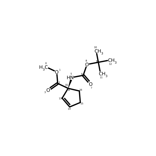 COC(=O)[C@@]1(NC(=O)OC(C)(C)C)C=CCC1